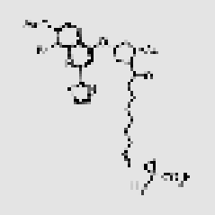 COc1ccc2c(O[C@@H]3C[C@@H](C(C)=O)N(C(=O)CCCCCC/C=C\[C@@H]4C[C@]4(C)C(=O)O)C3)cc(-c3nccs3)nc2c1Br